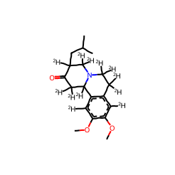 [2H]c1c(OC)c(OC)c([2H])c2c1C([2H])([2H])C([2H])([2H])N1C([2H])([2H])C([2H])(CC(C)C)C(=O)C([2H])([2H])C21[2H]